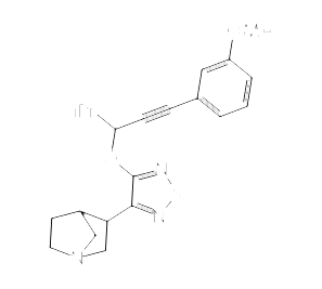 COc1cccc(C#CC(Oc2nsnc2C2CN3CCC2C3)C(C)C)c1